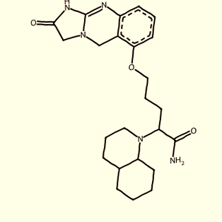 NC(=O)C(CCCOc1cccc2c1CN1CC(=O)NC1=N2)N1CCCC2CCCCC21